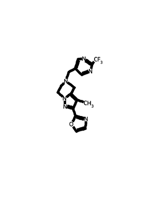 Cc1c(-c2ncco2)nn2c1CN(Cc1cnc(C(F)(F)F)nc1)CC2